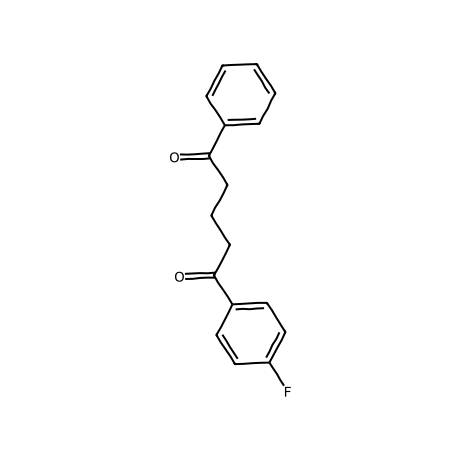 O=C(CCCC(=O)c1ccc(F)cc1)c1ccccc1